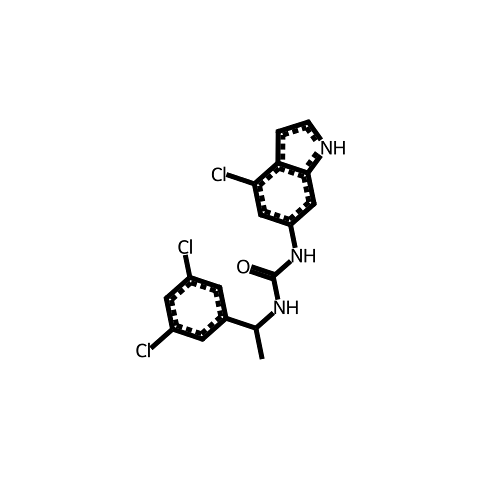 CC(NC(=O)Nc1cc(Cl)c2cc[nH]c2c1)c1cc(Cl)cc(Cl)c1